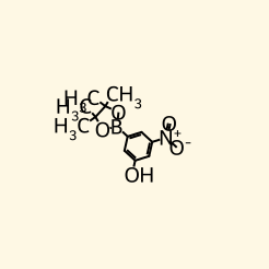 CC1(C)OB(c2cc(O)cc([N+](=O)[O-])c2)OC1(C)C